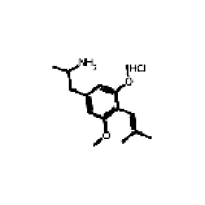 COc1cc(CC(C)N)cc(OC)c1C=C(C)C.Cl